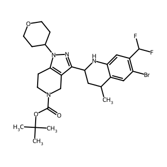 CC1CC(c2nn(C3CCOCC3)c3c2CN(C(=O)OC(C)(C)C)CC3)Nc2cc(C(F)F)c(Br)cc21